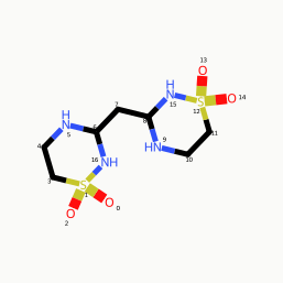 O=S1(=O)CCNC(CC2NCCS(=O)(=O)N2)N1